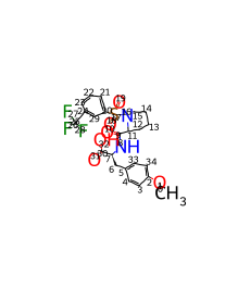 COc1ccc(C[C@H](NC(=O)C2CCCCN2S(=O)(=O)c2cccc(C(F)(F)F)c2)C(=O)O)cc1